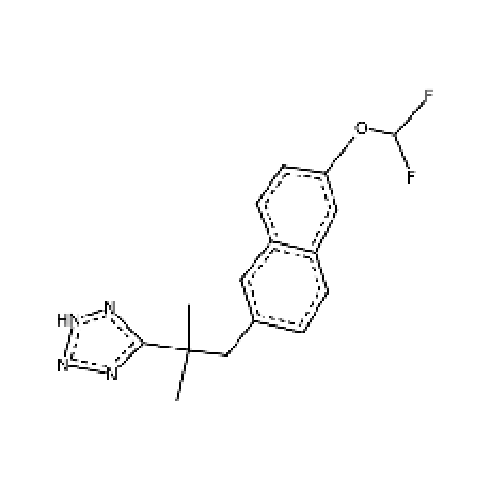 CC(C)(Cc1ccc2cc(OC(F)F)ccc2c1)c1nn[nH]n1